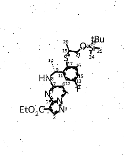 CCOC(=O)c1cnn2ccc(N[C@H](C)c3cc(F)ccc3S[C@@H](C)CO[Si](C)(C)C(C)(C)C)nc12